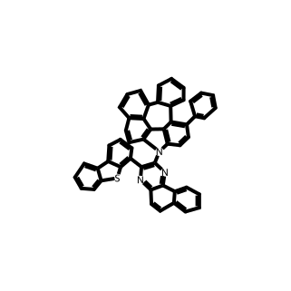 c1ccc(-c2ccc3c4c2-c2ccccc2-c2cccc5ccc(c4c25)n3-c2nc3c(ccc4ccccc43)nc2-c2cccc3c2sc2ccccc23)cc1